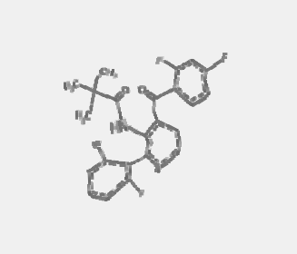 CC(C)(C)C(=O)Nc1c(C(=O)c2ccc(F)cc2F)ccnc1-c1c(F)cccc1F